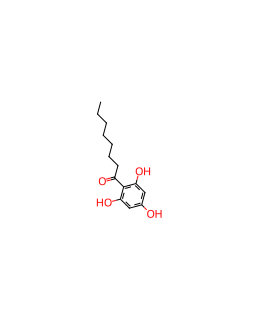 CCCCCCCC(=O)c1c(O)cc(O)cc1O